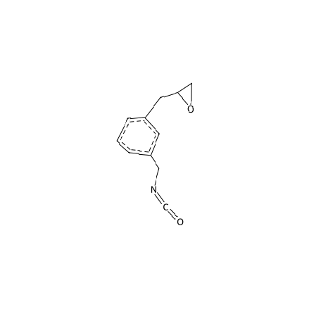 O=C=NCc1cccc(CC2CO2)c1